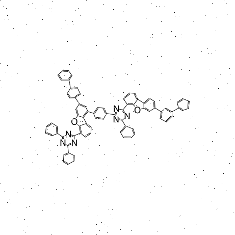 c1ccc(-c2ccc(-c3cc(-c4ccc(-c5nc(-c6ccccc6)nc(-c6cccc7c6oc6cc(-c8cccc(-c9ccccc9)c8)ccc67)n5)cc4)c4c(c3)oc3c(-c5nc(-c6ccccc6)nc(-c6ccccc6)n5)cccc34)cc2)cc1